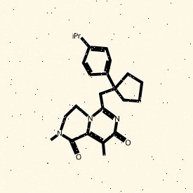 Cc1c2n(c(CC3(c4ccc(C(C)C)cc4)CCCC3)nc1=O)CCN(C)C2=O